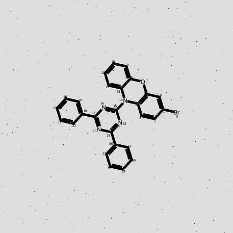 Brc1ccc2c(c1)Oc1ccccc1N2c1nc(-c2ccccc2)nc(-c2ccccc2)n1